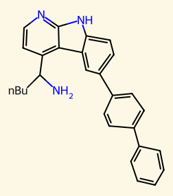 CCCCC(N)c1ccnc2[nH]c3ccc(-c4ccc(-c5ccccc5)cc4)cc3c12